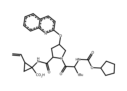 C=CC1CC1(NC(=O)C1CC(Oc2ccc3ccccc3n2)CN1C(=O)C(NC(=O)OC1CCCC1)C(C)(C)C)C(=O)O